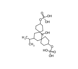 CC(C)C1CC2(CCC(OP(=O)(O)O)CC2)N(O)C2(CCC(OP(=O)(O)O)CC2)C1